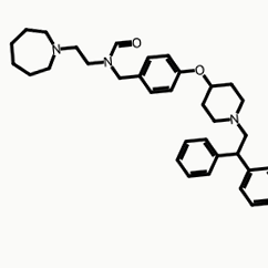 O=CN(CCN1CCCCCC1)Cc1ccc(OC2CCN(CC(c3ccccc3)c3ccccc3)CC2)cc1